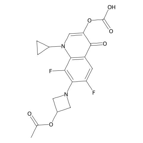 CC(=O)OC1CN(c2c(F)cc3c(=O)c(OC(=O)O)cn(C4CC4)c3c2F)C1